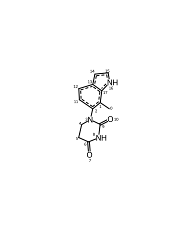 Cc1c(N2CCC(=O)NC2=O)ccc2cc[nH]c12